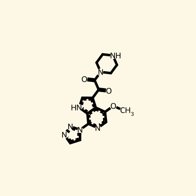 COc1cnc(-n2ccnn2)c2[nH]cc(C(=O)C(=O)N3CCNCC3)c12